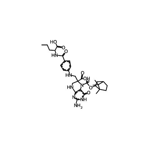 CCCC(NC(=O)c1ccc(NCC2(C(=O)O)CNc3nc(N)[nH]c(=O)c3N2C(=O)OC2CC3CCC2(C)C3(C)C)cc1)C(=O)O